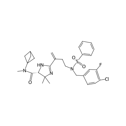 C=C(CCN(Cc1ccc(Cl)c(F)c1)S(=O)(=O)c1ccccc1)C1=NC(C)(C)[C@H](C(=O)N(C)C23CC(C2)C3)N1